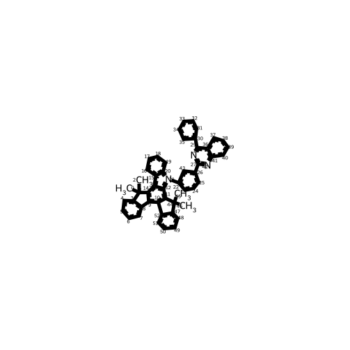 CC1(C)c2ccccc2-c2c3c(c4c(c21)c1ccccc1n4-c1cccc(-c2nc(-c4ccccc4)c4ccccc4n2)c1)C(C)(C)c1ccccc1-3